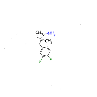 CC[Si](C)(CN)Cc1ccc(F)c(F)c1